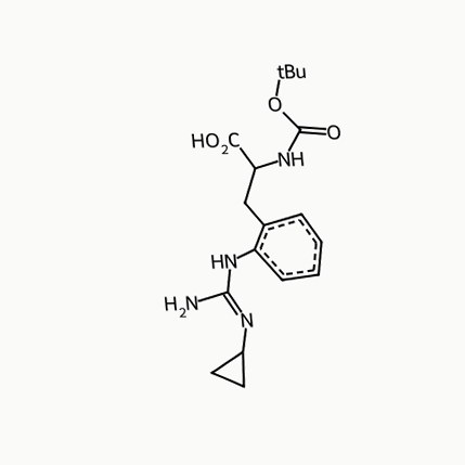 CC(C)(C)OC(=O)NC(Cc1ccccc1NC(N)=NC1CC1)C(=O)O